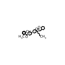 CCCCC1N(CC2CCCCC2)C(=O)OC12CCN(C1CCN(C(=O)c3c(C)cccc3C)CC1)CC2